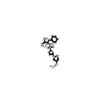 COc1cnn(C2=CCC(S(=O)(=O)N[C@@](C)(Cc3ccccc3)C(=O)O)S2)c1